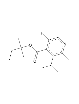 CCC(C)(C)OC(=O)c1c(F)cnc(C)c1C(C)C